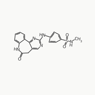 CNS(=O)(=O)c1ccc(Nc2ncc3c(n2)-c2ccccc2NC(=O)C3)cc1